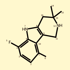 Cc1ccc(F)c2[nH]c3c(c12)CNC(C)(C)C3